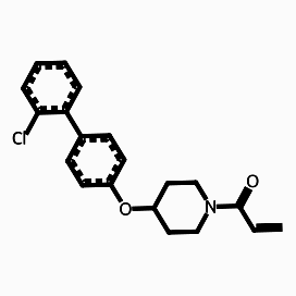 C=CC(=O)N1CCC(Oc2ccc(-c3ccccc3Cl)cc2)CC1